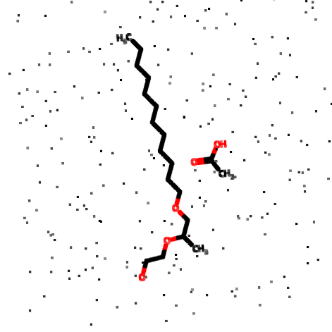 CC(=O)O.CCCCCCCCCCCCOCC(C)OCC[O]